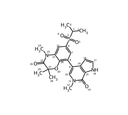 CC(C)S(=O)(=O)c1cc(-c2cn(C)c(=O)c3[nH]ccc23)c2c(c1)N(C)C(=O)C(C)(C)O2